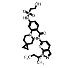 C[C@@H](CC(F)(F)F)n1ncc2ccc(NC(=O)c3ccc(NS(=O)(=O)CCO)cc3N3CCC4(CC3)CC4)nc21